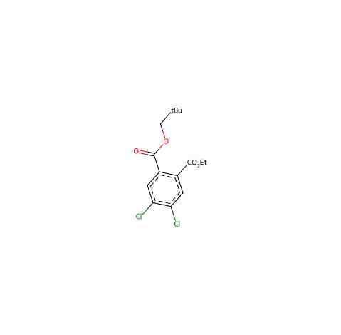 CCOC(=O)c1cc(Cl)c(Cl)cc1C(=O)OCC(C)(C)C